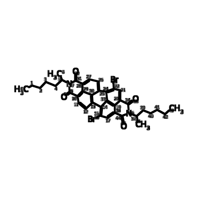 CCCCCC(C)N1C(=O)c2ccc3c4c(Br)cc5c6c(cc(Br)c(c7ccc(c2c37)C1=O)c64)C(=O)N(C(C)CCCCC)C5=O